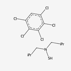 CC(C)CN(S)CC(C)C.Clc1cc(Cl)c(Cl)c(Cl)c1Cl